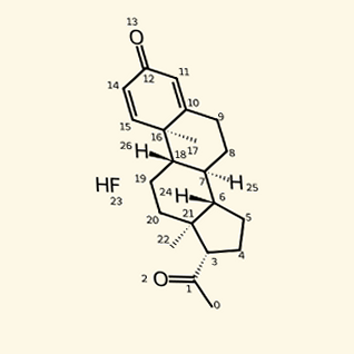 CC(=O)[C@H]1CC[C@H]2[C@@H]3CCC4=CC(=O)C=C[C@]4(C)[C@H]3CC[C@]12C.F